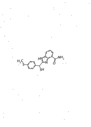 CSc1ccc(C(S)c2nc3c(C(N)=O)cccc3[nH]2)cc1